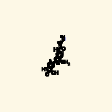 C/N=C\[C@H]1C[C@@H]1C(=O)Nc1cc2cc(-c3cc4c(cc3C)NC(=O)C4O)nc(N)c2cn1